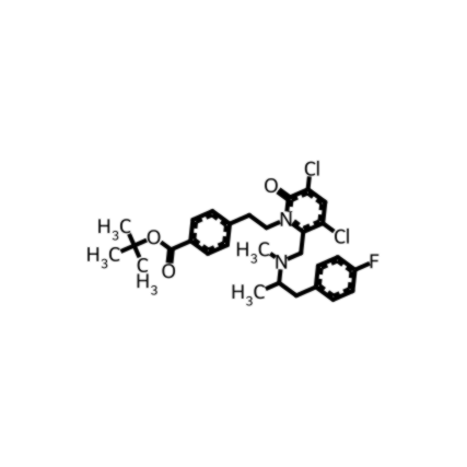 CC(Cc1ccc(F)cc1)N(C)Cc1c(Cl)cc(Cl)c(=O)n1CCc1ccc(C(=O)OC(C)(C)C)cc1